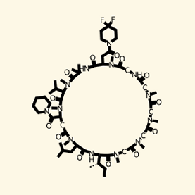 CC[C@H](C)C1NC(=O)C(CC(C)C)N(C)C(=O)CC(C(=O)N2CCCCC2)N(C)C(=O)C(C(C)C)N(C)C(=O)C(C)(C)NC(=O)C(CC(=O)N2CCC(F)(F)CC2)N(C)C(=O)CNC(=O)CN(C)C(=O)CN(C)C(=O)CN(C)C(=O)CN(C)C1=O